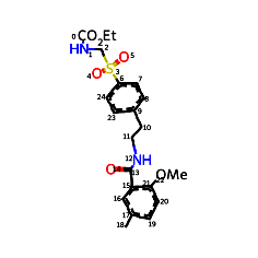 CCOC(=O)NCS(=O)(=O)c1ccc(CCNC(=O)c2cc(C)ccc2OC)cc1